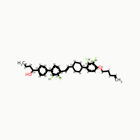 C=CCCCOc1ccc(C2CCC(/C=C/c3ccc(-c4ccc(C(O)CCC)cc4)c(F)c3F)CC2)c(F)c1F